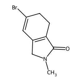 CN1CC2=C(CCC(Br)=C2)C1=O